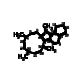 C=C1/C=C\c2c(c3ccc4ccccc4c3n2C)C(=C)/C=C\[C@H](C)/C=C\1